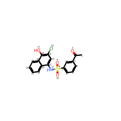 CC(=O)c1cccc(S(=O)(=O)Nc2cc(Cl)c(O)c3ccccc23)c1